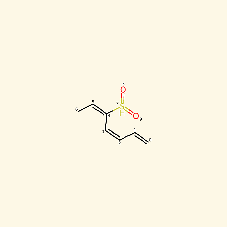 C=C/C=C\C(=C/C)[SH](=O)=O